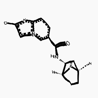 O=C(N[C@@H]1C[C@H]2CC[C@@H]1N2)c1ccc2nc(Cl)cn2c1